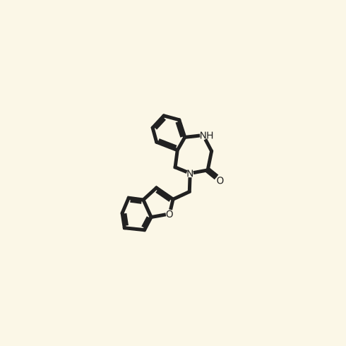 O=C1CNc2ccccc2CN1Cc1cc2ccccc2o1